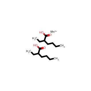 CCCCC(CC)C(=O)O.CCCCC(CC)C(=O)O.[Mn+3]